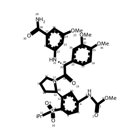 COC(=O)Nc1ccc(S(=O)(=O)C(C)C)c([C@H]2CCCN2C(=O)[C@H](Nc2cc(OC)cc(C(N)=O)c2)c2ccc(OC)c(OC)c2)c1